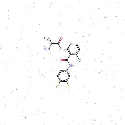 C[C@H](N)C(=O)Cc1cccc(Cl)c1C(=O)Nc1ccc(F)c(F)c1